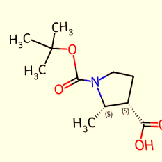 C[C@H]1[C@@H](C(=O)O)CCN1C(=O)OC(C)(C)C